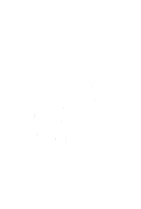 CC(C)(C)C(=O)Oc1cc(=O)oc2ccccc12